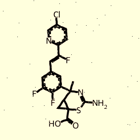 CC1(c2cc(C=C(F)c3ccc(Cl)cn3)cc(F)c2F)N=C(N)SC2(C(=O)O)CC21